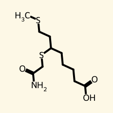 CSCCC(CCCCC(=O)O)SCC(N)=O